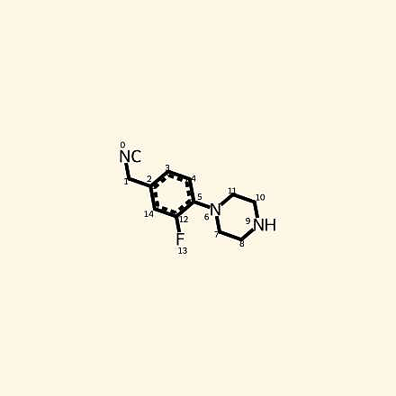 [C-]#[N+]Cc1ccc(N2CCNCC2)c(F)c1